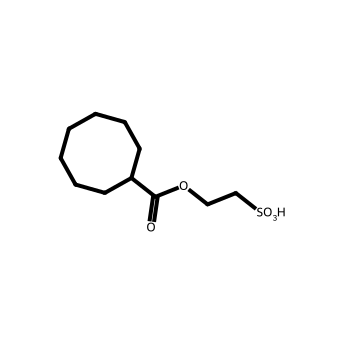 O=C(OCCS(=O)(=O)O)C1CCCCCCC1